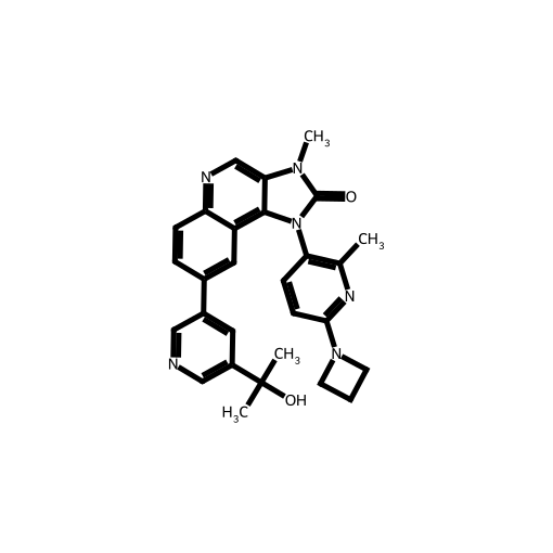 Cc1nc(N2CCC2)ccc1-n1c(=O)n(C)c2cnc3ccc(-c4cncc(C(C)(C)O)c4)cc3c21